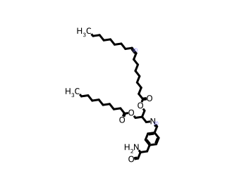 CCCCCCCC/C=C\CCCCCCCC(=O)OCC(C/N=C\c1ccc(CC(N)C=O)cc1)COC(=O)CCCCCCCCC